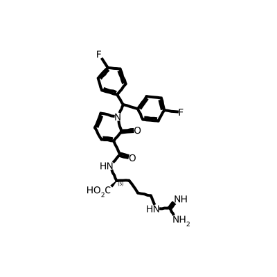 N=C(N)NCCC[C@H](NC(=O)c1cccn(C(c2ccc(F)cc2)c2ccc(F)cc2)c1=O)C(=O)O